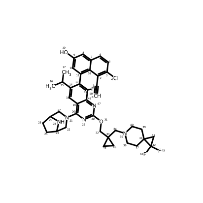 C#Cc1c(Cl)ccc2cc(O)cc(-c3c(C(C)C)cc4c(N5CC6CCC(C5)N6)nc(OCC5(CN6CCC7(CC6)CC7(F)F)CC5)nc4c3F)c12